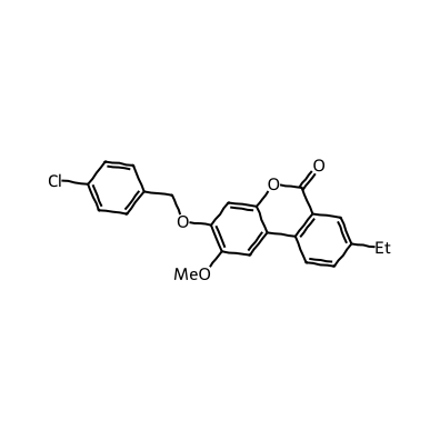 CCc1ccc2c(c1)c(=O)oc1cc(OCc3ccc(Cl)cc3)c(OC)cc12